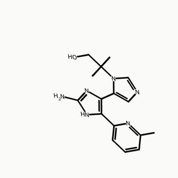 Cc1cccc(-c2[nH]c(N)nc2-c2cncn2C(C)(C)CO)n1